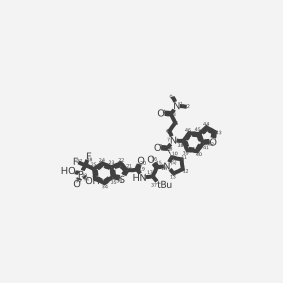 CN(C)C(=O)CCN(C(=O)[C@@H]1CCCN1C(=O)C(NC(=O)c1cc2cc(C(F)(F)P(=O)(O)O)ccc2s1)C(C)(C)C)c1ccc2occc2c1